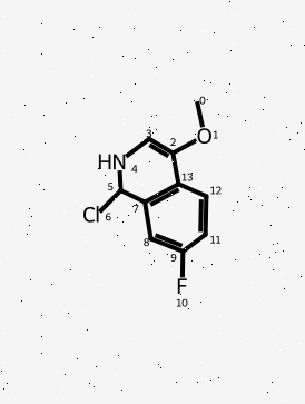 COC1=CNC(Cl)c2cc(F)ccc21